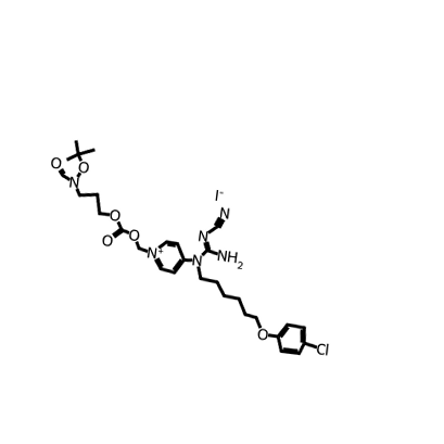 CC(C)(C)ON(C=O)CCCOC(=O)OC[n+]1ccc(N(CCCCCCOc2ccc(Cl)cc2)C(N)=NC#N)cc1.[I-]